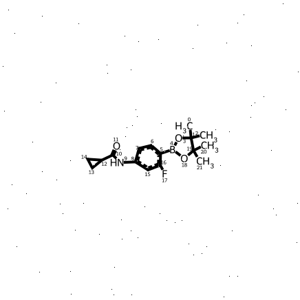 CC1(C)OB(c2ccc(NC(=O)C3CC3)cc2F)OC1(C)C